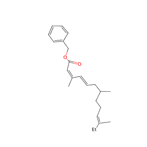 CCC(C)=CCCC(C)CC=CC(C)=CC(=O)OCc1ccccc1